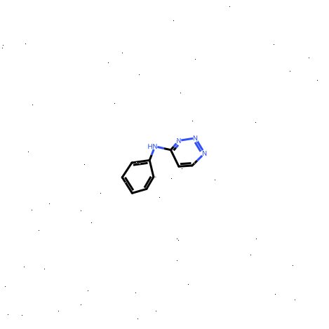 [c]1ccccc1Nc1ccnnn1